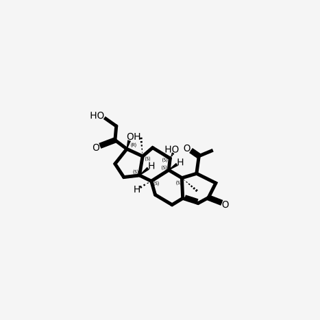 CC(=O)C1CC(=O)C=C2CC[C@@H]3[C@H]([C@@H](O)C[C@@]4(C)[C@H]3CC[C@]4(O)C(=O)CO)[C@]21C